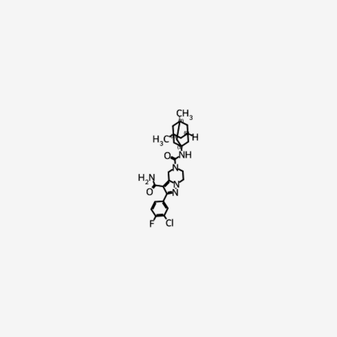 C[C@]12C[C@@H]3C[C@](C)(C1)C[C@](NC(=O)N1CCn4nc(-c5ccc(F)c(Cl)c5)c(C(N)=O)c4C1)(C3)C2